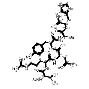 CC[C@H](C)[C@H](NC(=O)[C@H](Cc1ccc(O)cc1)NC(=O)[C@H](CC(N)=O)NC(=O)[C@H](CCCNC(=N)N)NC(=O)[C@@H](NC(C)=O)[C@@H](C)O)C(=O)N[C@@H](Cc1c[nH]cn1)C(N)=O